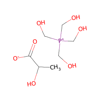 CC(O)C(=O)[O-].OC[P+](CO)(CO)CO